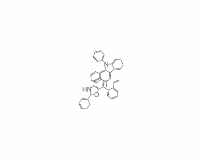 C=Cc1ccccc1-c1c(C)c(/C=c2\c(=C/C(C)c3ccccc3)c3c(n2-c2ccccc2)=CCCC=3)cc2c1OC(C1=CC=CCC1)N2